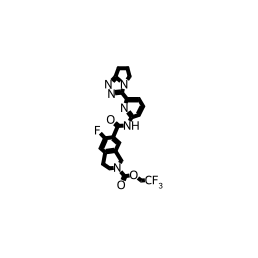 O=C(Nc1cccc(-c2nnc3n2CCC3)n1)c1cc2c(cc1F)CCN(C(=O)OCC(F)(F)F)C2